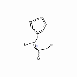 Cl/C(Br)=C(\Br)c1ccccc1